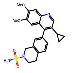 COc1cc2ncc(C3CC3)c(-c3ccc4c(c3)CN(S(N)(=O)=O)CC4)c2cc1OC